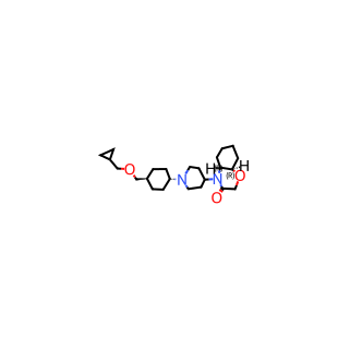 O=C1CO[C@@H]2CCCC[C@H]2N1C1CCN([C@H]2CC[C@H](COCC3CC3)CC2)CC1